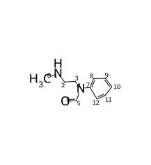 CNCCN(C=O)c1ccccc1